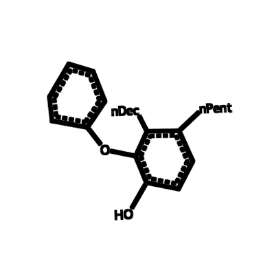 CCCCCCCCCCc1c(CCCCC)ccc(O)c1Oc1ccccc1